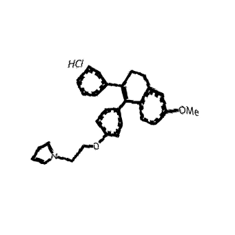 COc1ccc2c(c1)CCC(c1ccccc1)=C2c1ccc(OCCN2C=CCC2)cc1.Cl